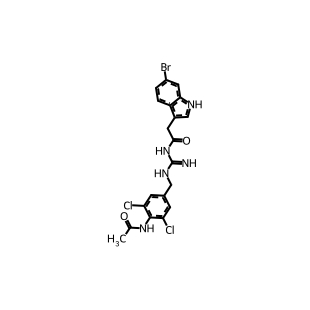 CC(=O)Nc1c(Cl)cc(CNC(=N)NC(=O)Cc2c[nH]c3cc(Br)ccc23)cc1Cl